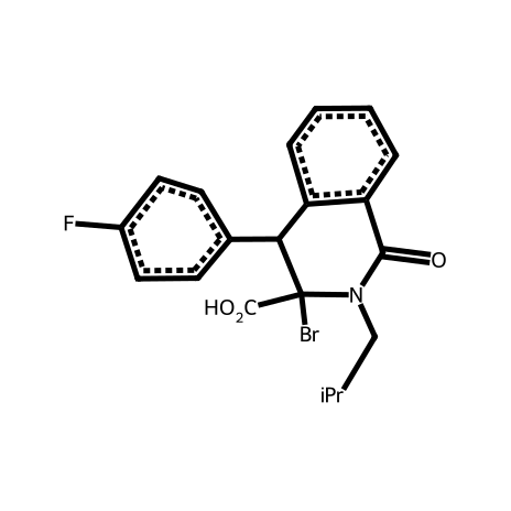 CC(C)CN1C(=O)c2ccccc2C(c2ccc(F)cc2)C1(Br)C(=O)O